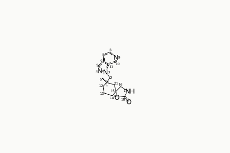 C[C@]1(Cn2ncc3ccncc32)CCCC2(CNC(=O)O2)C1